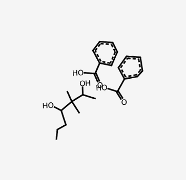 CCCC(O)C(C)(C)C(C)O.O=C(O)c1ccccc1.O=C(O)c1ccccc1